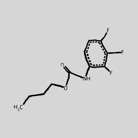 [CH2]CCCOC(=O)Nc1ccc(F)c(F)c1F